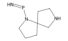 N=PN1CCCC12CCNC2